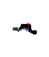 CN(C[C@H](O)CNC(C)(C)CCCc1ccccc1)S(=O)(=O)c1ccc(-c2cccc(CCC(=O)O)c2)c(Cl)c1